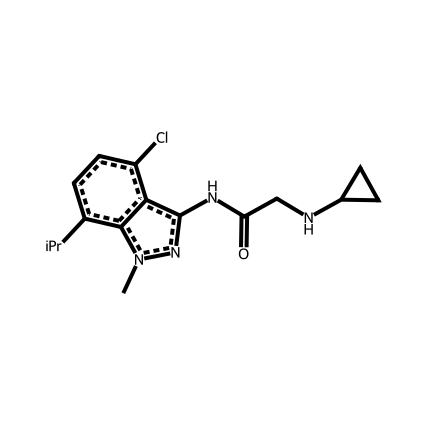 CC(C)c1ccc(Cl)c2c(NC(=O)CNC3CC3)nn(C)c12